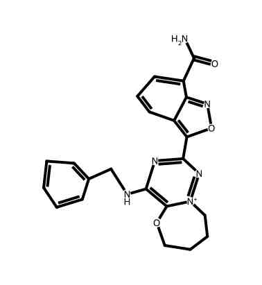 NC(=O)c1cccc2c(-c3nc(NCc4ccccc4)c4[n+](n3)CCCCO4)onc12